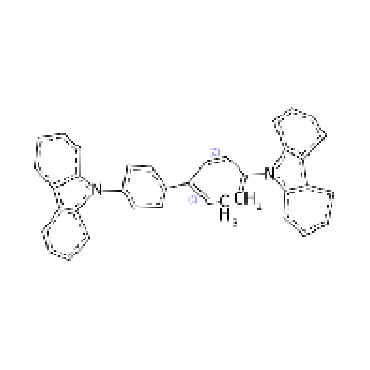 C=C(/C=C\C(=C/C)c1ccc(-n2c3ccccc3c3ccccc32)cc1)n1c2ccccc2c2ccccc21